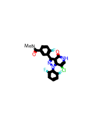 CNC(=O)c1ccc(F)c(-c2nn(-c3c(F)cccc3F)c3c(Cl)c[nH]c(=O)c23)c1